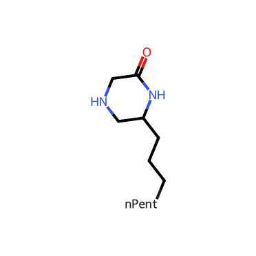 CCCCCCCCC1CNCC(=O)N1